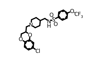 O=S(=O)(NCC1CCN(CC2COc3ccc(Cl)cc3O2)CC1)c1ccc(OC(F)(F)F)cc1